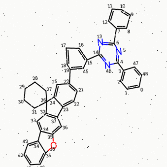 c1ccc(-c2nc(-c3ccccc3)nc(-c3cccc(-c4ccc5c(c4)C4(CCCCC4)c4cc6c(cc4-5)oc4ccccc46)c3)n2)cc1